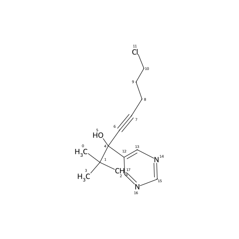 CC(C)(C)C(O)(C#CCCCCl)c1cncnc1